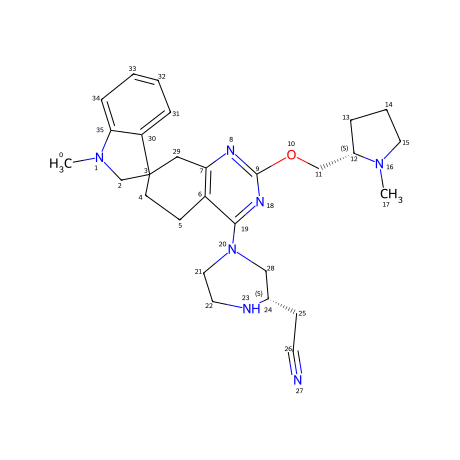 CN1CC2(CCc3c(nc(OC[C@@H]4CCCN4C)nc3N3CCN[C@@H](CC#N)C3)C2)c2ccccc21